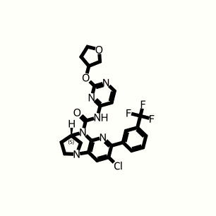 O=C(Nc1ccnc(OC2CCOC2)n1)N1c2nc(-c3cccc(C(F)(F)F)c3)c(Cl)cc2N2CC[C@H]1C2